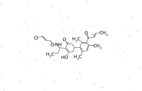 C/C=C/C(=O)c1c(C)cc(C)c(C2CC(=O)C(C(CC)NOCC=CCl)=C(O)C2)c1C